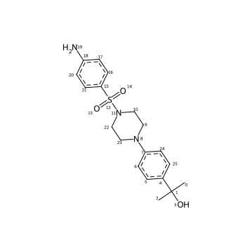 CC(C)(O)c1ccc(N2CCN(S(=O)(=O)c3ccc(N)cc3)CC2)cc1